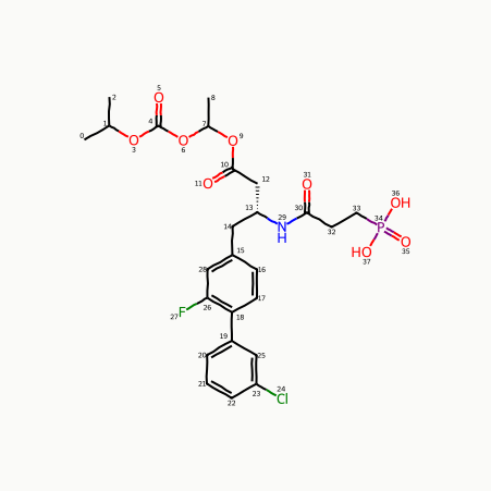 CC(C)OC(=O)OC(C)OC(=O)C[C@@H](Cc1ccc(-c2cccc(Cl)c2)c(F)c1)NC(=O)CCP(=O)(O)O